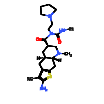 CCNC(=O)N(CCN1CCCC1)C(=O)[C@@H]1C[C@@H]2Cc3c(sc(N)c3C#N)C[C@H]2N(C)C1